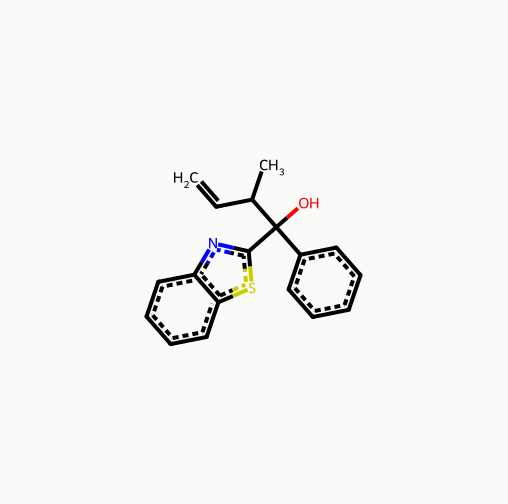 C=CC(C)C(O)(c1ccccc1)c1nc2ccccc2s1